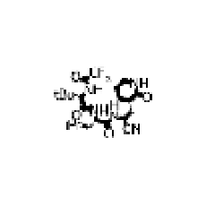 CC(C)C[C@H](NC(=O)[C@@H](NC(=O)C(F)(F)F)C(C)(C)C)C(=O)N[C@H](C#N)C[C@@H]1CCCNC1=O